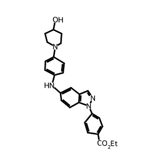 CCOC(=O)c1ccc(-n2ncc3cc(Nc4ccc(N5CCC(O)CC5)cc4)ccc32)cc1